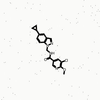 COc1ncc(C(=O)NCn2ncc3cc(C4CC4)ccc32)cc1Cl